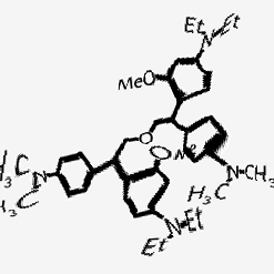 CCN(CC)c1ccc(C(COCC(c2ccc(N(C)C)cc2)c2ccc(N(CC)CC)cc2OC)c2ccc(N(C)C)cc2)c(OC)c1